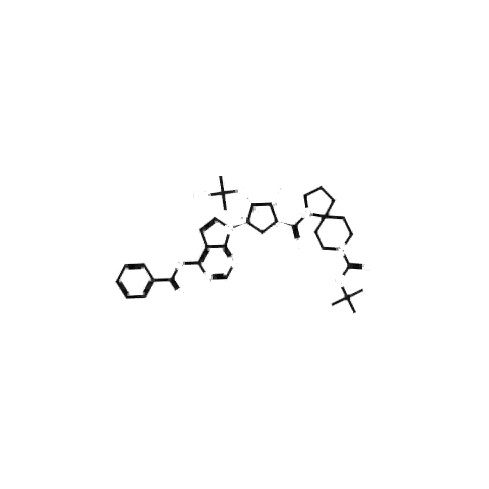 C[C@H]1[C@@H](OC(C)(C)O)[C@H](n2ccc3c(NC(=O)c4ccccc4)ncnc32)C[C@@H]1C(=O)N1CCCC12CCN(C(=O)OC(C)(C)C)CC2